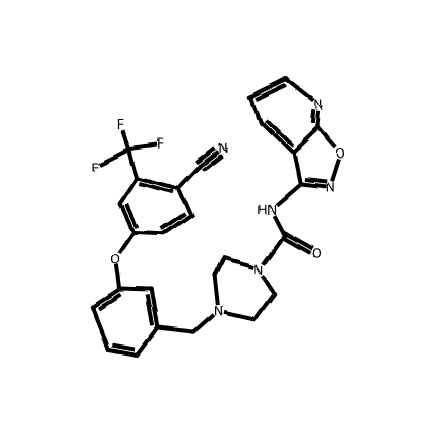 N#Cc1ccc(Oc2cccc(CN3CCN(C(=O)Nc4noc5ncccc45)CC3)c2)cc1C(F)(F)F